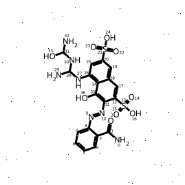 NC(=O)c1ccccc1N=Nc1c(S(=O)(=O)O)cc2cc(S(=O)(=O)O)cc(NC(N)NC(N)O)c2c1O